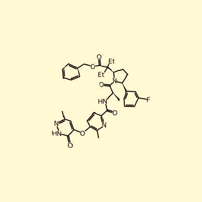 CCC(CC)(C(=O)OCc1ccccc1)[C@H]1CC[C@@H](c2cccc(F)c2)N1C(=O)[C@@H](C)NC(=O)c1ccc(Oc2cc(C)n[nH]c2=O)c(C)n1